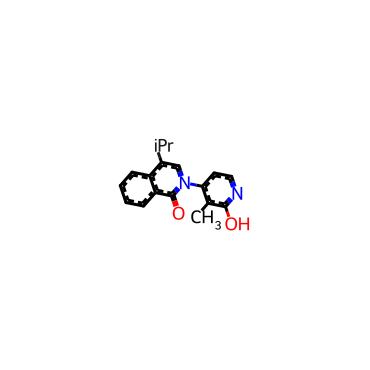 Cc1c(-n2cc(C(C)C)c3ccccc3c2=O)ccnc1O